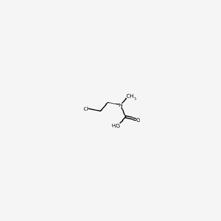 CN(CCCl)C(=O)O